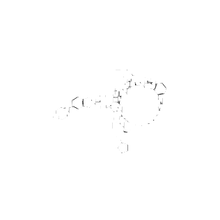 C=C[C@@H]1C[C@@]12NC(=O)[C@@H]1C[C@@H](OC(=O)N3Cc4ccc(N5CCOCC5)cc4C3)CN1C(=O)[C@@H](NC(=O)OC1CCCC1)CCCCCCCNc1ccccc1S(=O)(=O)NC2=O